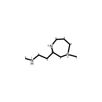 CNCCC1CN(C)CCC[N]1